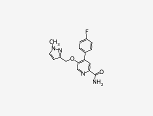 Cn1ccc(COc2cnc(C(N)=O)cc2-c2ccc(F)cc2)n1